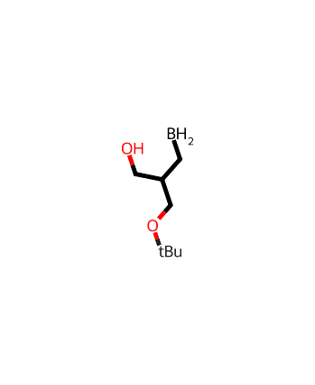 BCC(CO)COC(C)(C)C